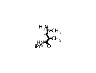 CC(C)NC(=O)C(C)CN(C)C